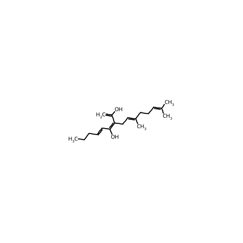 C=C(O)/C(C/C=C(\C)CCC=C(C)C)=C(O)\C=C\CCC